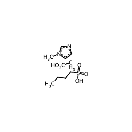 CC(=O)O.CCCCS(=O)(=O)O.Cn1ccnc1